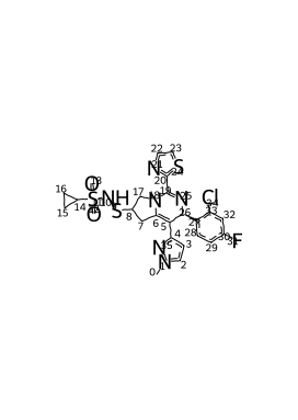 Cn1ccc(C2=C3CC(SNS(=O)(=O)C4CC4)CN3C(c3nccs3)=N[C@H]2c2ccc(F)cc2Cl)n1